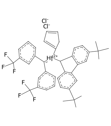 CC(C)(C)c1ccc2c(c1)-c1cc(C(C)(C)C)ccc1[CH]2[Hf+2]([C]1=CC=CC1)=[C](c1cccc(C(F)(F)F)c1)c1cccc(C(F)(F)F)c1.[Cl-].[Cl-]